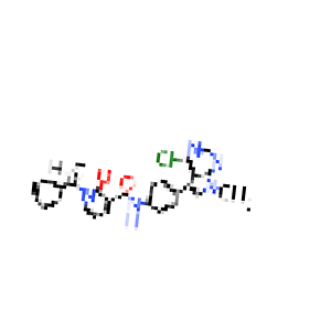 [CH2][C@H](c1ccccc1)n1cccc(C(=O)Nc2ccc(-c3cn(C)c4ncnc(Cl)c34)cc2)c1=O